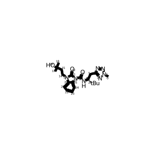 Cn1nnc(C[C@@H](NC(=O)n2c(=O)n(CCC(C)(C)O)c3ccccc32)C(C)(C)C)n1